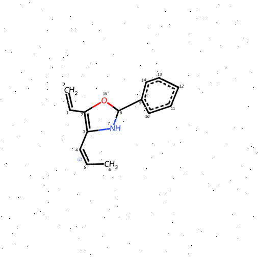 C=CC1=C(/C=C\C)NC(c2ccccc2)O1